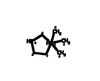 C[SH]1(C)(C)CBCC1